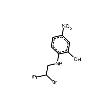 CC(C)C(Br)CNc1ccc([N+](=O)[O-])cc1O